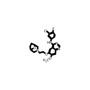 COc1cc2ncnc(Nc3ccc(F)c(Cl)c3)c2cc1OCCN1CC2CCC(C1)O2